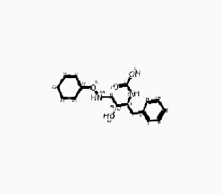 O=C(O)NC(Cc1ccccc1)[C@H](O)CNOC1CCCCC1